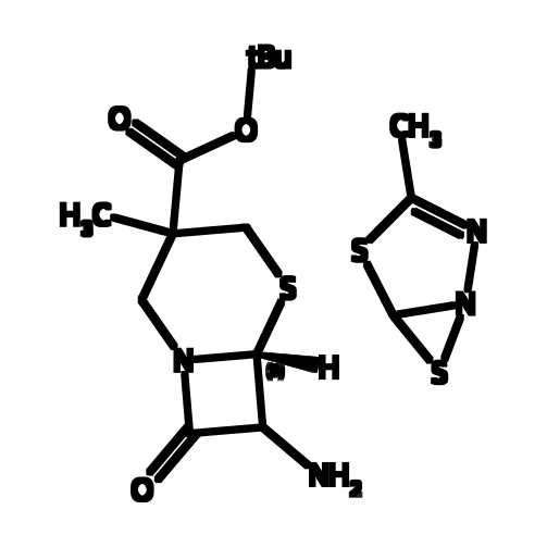 CC(C)(C)OC(=O)C1(C)CS[C@@H]2C(N)C(=O)N2C1.CC1=NN2SC2S1